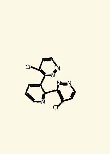 Clc1ccnnc1-c1cccnc1-c1nnccc1Cl